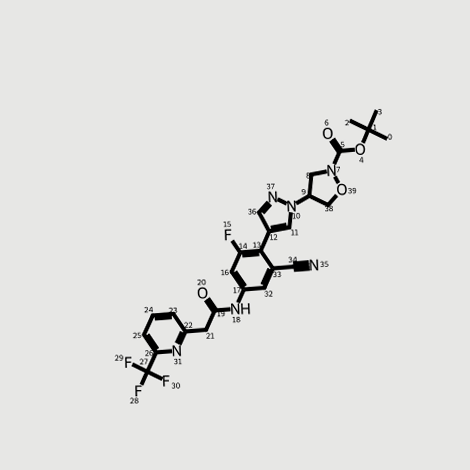 CC(C)(C)OC(=O)N1CC(n2cc(-c3c(F)cc(NC(=O)Cc4cccc(C(F)(F)F)n4)cc3C#N)cn2)CO1